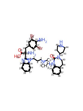 CN(C)CCCn1c([C@](N)(Cc2cc(Br)c(N)c(Br)c2)C(=O)O)nc2ccccc21.O=C1Nc2ccccc2CCN1C1CCNCC1